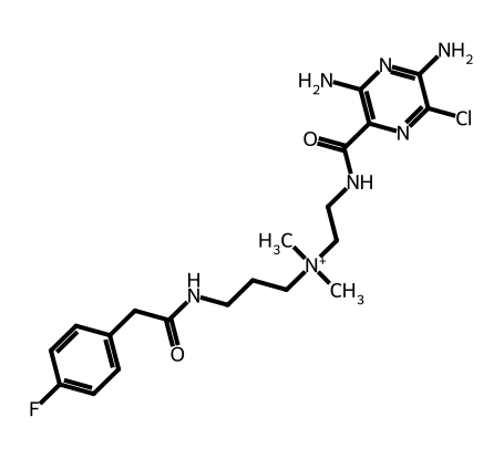 C[N+](C)(CCCNC(=O)Cc1ccc(F)cc1)CCNC(=O)c1nc(Cl)c(N)nc1N